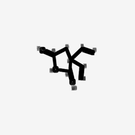 C=CC1(C=C)CC(=O)OC1=O